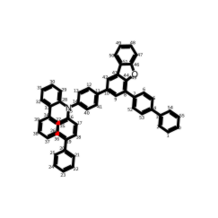 c1ccc(-c2ccc(-c3cc(-c4ccc(N(c5ccc(-c6ccccc6)cc5)c5ccccc5-c5ccccc5)cc4)cc4c3oc3ccccc34)cc2)cc1